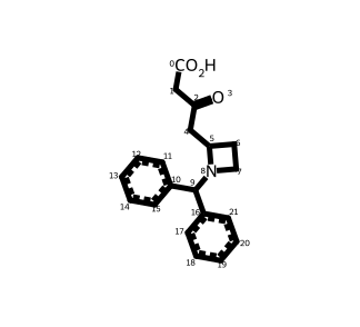 O=C(O)CC(=O)CC1CCN1C(c1ccccc1)c1ccccc1